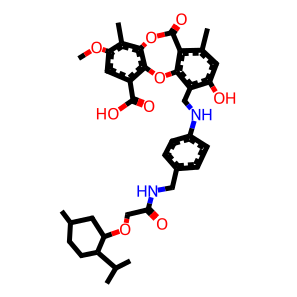 COc1cc(C(=O)O)c2c(c1C)OC(=O)c1c(C)cc(O)c(CNc3ccc(CNC(=O)COC4CC(C)CCC4C(C)C)cc3)c1O2